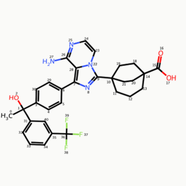 CC(O)(c1ccc(-c2nc(C34CCCC(C(=O)O)(CC3)CC4)n3ccnc(N)c23)cc1)c1cccc(C(F)(F)F)c1